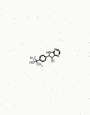 CCC1c2nccnc2NC1c1ccc(C(C)(C)O)cc1